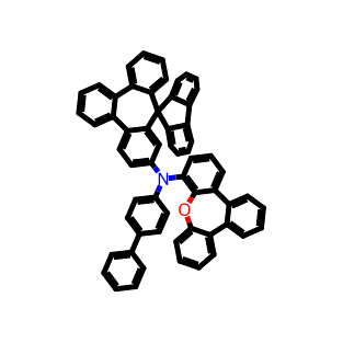 c1ccc(-c2ccc(N(c3ccc4c(c3)C3(c5ccccc5-c5ccccc5-4)c4ccccc4-c4ccccc43)c3cccc4c3Oc3ccccc3-c3ccccc3-4)cc2)cc1